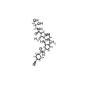 CC1=C2C(Nc3cc(NC(=O)c4ccc(C#N)cc4)ccc3C)=NC=NN2CC1C(=O)NCC(O)CO